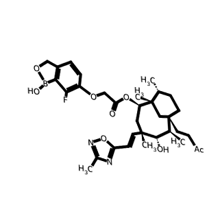 CC(=O)CC[C@]12CC[C@@H](C)[C@](C)(C1)[C@H](OC(=O)COc1ccc3c(c1F)B(O)OC3)C[C@@](C)(/C=C/c1nc(C)no1)[C@@H](O)[C@@H]2C